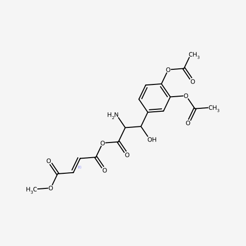 COC(=O)/C=C/C(=O)OC(=O)C(N)C(O)c1ccc(OC(C)=O)c(OC(C)=O)c1